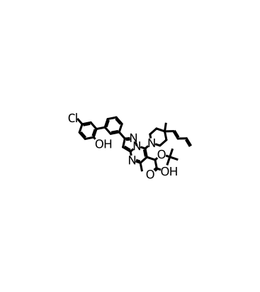 C=CC=CC1(C)CCN(c2c(C(OC(C)(C)C)C(=O)O)c(C)nc3cc(-c4cccc(-c5cc(Cl)ccc5O)c4)nn23)CC1